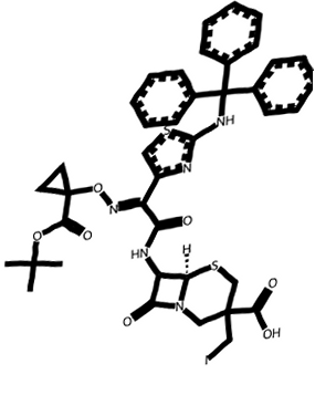 CC(C)(C)OC(=O)C1(ON=C(C(=O)NC2C(=O)N3CC(CI)(C(=O)O)CS[C@H]23)c2csc(NC(c3ccccc3)(c3ccccc3)c3ccccc3)n2)CC1